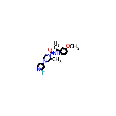 COc1cccc([C@@H](C)NC(=O)N2CCN(c3ccnc(F)c3)CC2C)c1